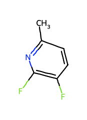 Cc1ccc(F)c(F)n1